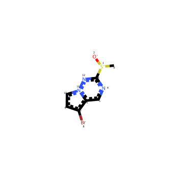 C[S+]([O-])c1ncc2c(Br)ccn2n1